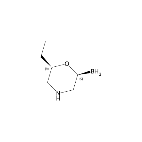 B[C@H]1CNC[C@@H](CC)O1